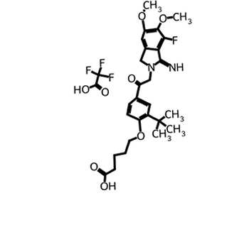 COc1cc2c(c(F)c1OC)C(=N)N(CC(=O)c1ccc(OCCCCC(=O)O)c(C(C)(C)C)c1)C2.O=C(O)C(F)(F)F